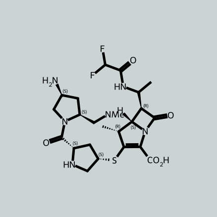 CNC[C@@H]1C[C@H](N)CN1C(=O)[C@@H]1C[C@H](SC2=C(C(=O)O)N3C(=O)[C@H](C(C)NC(=O)C(F)F)[C@H]3[C@H]2C)CN1